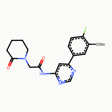 COc1cc(-c2cc(NC(=O)CN3CCCCC3=O)ncn2)ccc1F